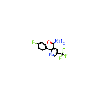 NC(=O)c1cc(C(F)(F)F)cnc1-c1ccc(F)cc1